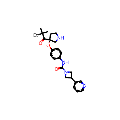 CCC(C)(C)C(=O)[C@@]1(Oc2ccc(NC(=O)N3CC(c4cccnc4)C3)cc2)CCNC1